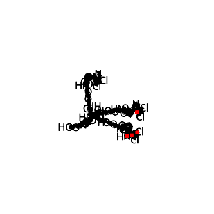 CN1Cc2c(Cl)cc(Cl)cc2[C@H](c2cccc(S(=O)(=O)NCCOCCOCCNC(=O)CCC(CCCNCCOCCOCCNS(=O)(=O)C3=CC(C)([C@@H]4CN(C)Cc5c(Cl)cc(Cl)cc54)CC=C3)(CCC(=O)NCCOCCOCCNS(=O)(=O)c3cccc([C@@H]4CN(C)Cc5c(Cl)cc(Cl)cc54)c3)NC(=O)N3CCN(CCOCCO)CC3)c2)C1